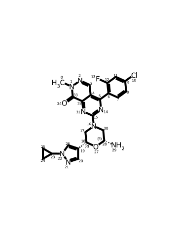 Cn1ncc2c(-c3ccc(Cl)cc3F)nc(N3C[C@@H](c4cnn(C5CC5)c4)O[C@@H](N)C3)nc2c1=O